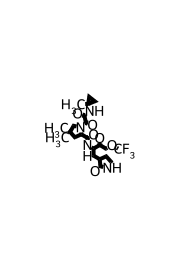 CC1(C)CC(C(=O)NC(CC2CCNC2=O)C(=O)COC(F)(F)F)N(C(=O)C(=O)NC2(C)CC2)C1